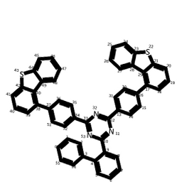 c1ccc(-c2ccccc2-c2nc(-c3ccc(-c4cccc5sc6ccccc6c45)cc3)nc(-c3ccc(-c4cccc5sc6ccccc6c45)cc3)n2)cc1